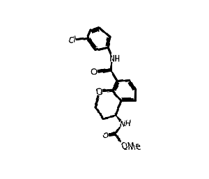 COC(=O)N[C@H]1CCOc2c(C(=O)Nc3cccc(Cl)c3)cccc21